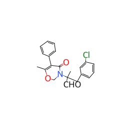 CC1=C(c2ccccc2)C(=O)N(C(C)(C=O)Cc2cccc(Cl)c2)CO1